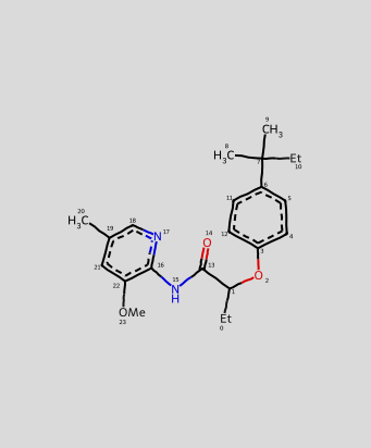 CCC(Oc1ccc(C(C)(C)CC)cc1)C(=O)Nc1ncc(C)cc1OC